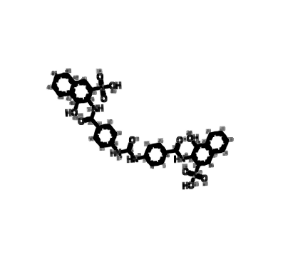 O=C(Nc1ccc(C(=O)Nc2c(S(=O)(=O)O)cc3ccccc3c2O)cc1)Nc1ccc(C(=O)Nc2c(S(=O)(=O)O)cc3ccccc3c2O)cc1